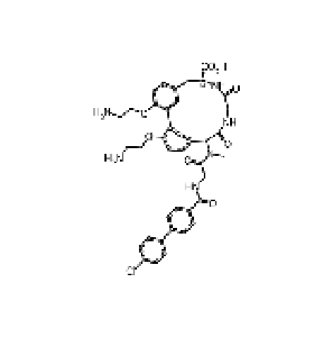 CN(C(=O)CNC(=O)c1ccc(-c2ccc(Cl)cc2)cc1)C1C(=O)NCC(=O)N[C@H](C(=O)O)Cc2ccc(OCCN)c(c2)-c2cc1ccc2OCCN